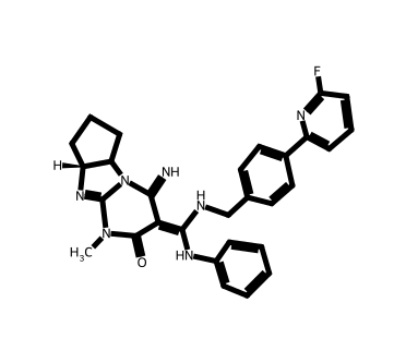 Cn1c(=O)/c(=C(/NCc2ccc(-c3cccc(F)n3)cc2)Nc2ccccc2)c(=N)n2c1=N[C@@H]1CCCC12